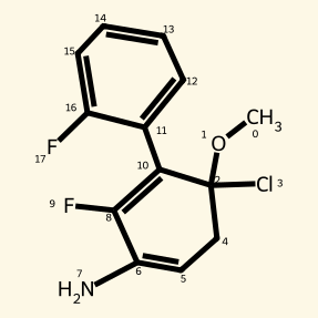 COC1(Cl)CC=C(N)C(F)=C1c1ccccc1F